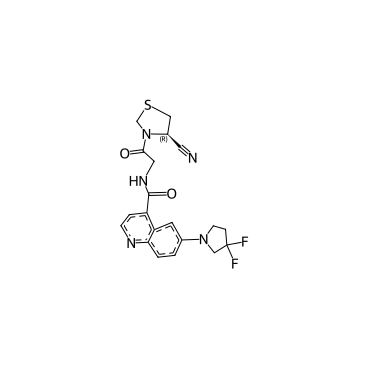 N#C[C@@H]1CSCN1C(=O)CNC(=O)c1ccnc2ccc(N3CCC(F)(F)C3)cc12